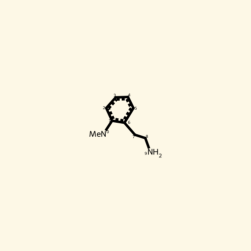 CNc1ccccc1CCN